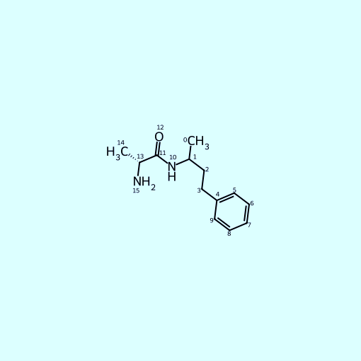 CC(CCc1ccccc1)NC(=O)[C@@H](C)N